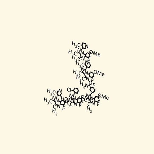 COc1cc(F)c2nc(C)c3c(C)nc(-c4ccc(F)c(C(N)=O)c4)n3c2c1.COc1cc(F)c2nc(C)c3c(C)nc(-c4ccccc4Cl)n3c2c1.COc1cc(F)c2nc(C)c3c(C)nc(-c4cccnc4C)n3c2c1.COc1cc(F)c2nc(C)c3c(C)nc(-c4ccncc4C)n3c2c1.COc1cc(F)c2nc(C)c3c(C)nc(-c4cnccc4C)n3c2c1